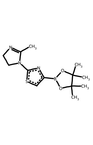 CC1=NCCN1c1nc(B2OC(C)(C)C(C)(C)O2)cs1